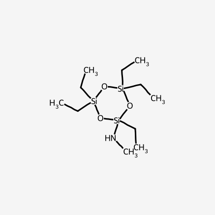 CC[Si]1(CC)O[Si](CC)(CC)O[Si](CC)(NC)O1